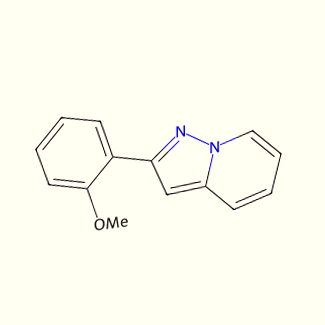 COc1ccccc1-c1cc2ccccn2n1